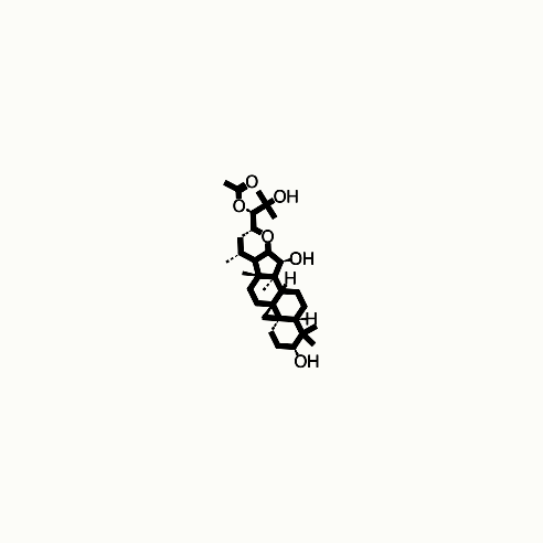 CC(=O)O[C@@H]([C@H]1C[C@@H](C)C2C(O1)[C@H](O)[C@@]1(C)[C@@H]3CC[C@H]4C(C)(C)[C@H](O)CC[C@@]45C[C@@]35CC[C@]21C)C(C)(C)O